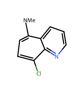 CNc1ccc(Cl)c2ncccc12